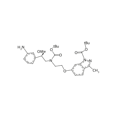 CO[C@@H](CN(CCOc1ccc2c(C)nn(C(=O)OC(C)(C)C)c2c1)C(=O)OC(C)(C)C)c1cccc(N)c1